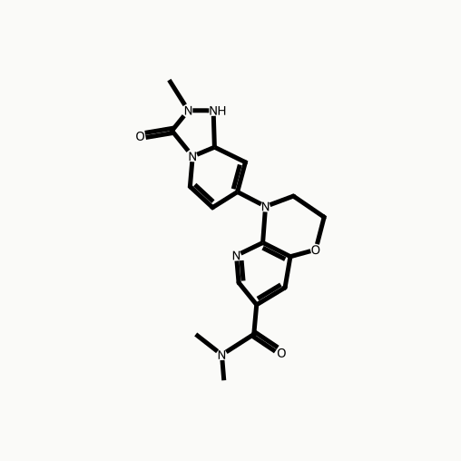 CN(C)C(=O)c1cnc2c(c1)OCCN2C1=CC2NN(C)C(=O)N2C=C1